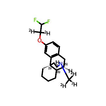 [2H]C([2H])(Oc1ccc2c(c1)[C@]13CCCC[C@@H]1[C@H](C2)N(C([2H])([2H])[2H])CC3)C(F)F